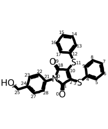 O=C1C(Sc2ccccc2)=C(Sc2ccccc2)C(=O)N1c1ccc(CO)cc1